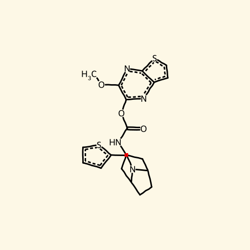 COc1nc2sccc2nc1OC(=O)NC1CC2CCC(C1)N2Cc1cccs1